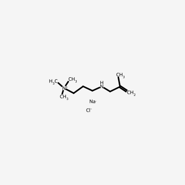 C=C(C)CNCCC[N+](C)(C)C.[Cl-].[Na]